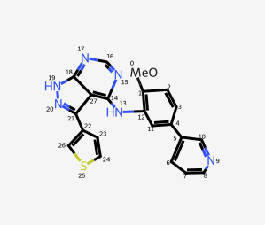 COc1ccc(-c2cccnc2)cc1Nc1ncnc2[nH]nc(-c3ccsc3)c12